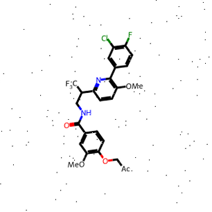 COc1cc(C(=O)NCC(c2ccc(OC)c(-c3ccc(F)c(Cl)c3)n2)C(F)(F)F)ccc1OCC(C)=O